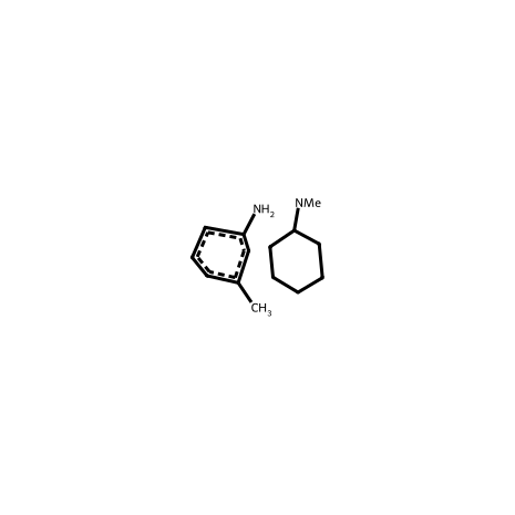 CNC1CCCCC1.Cc1cccc(N)c1